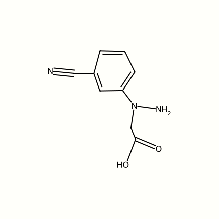 N#Cc1cccc(N(N)CC(=O)O)c1